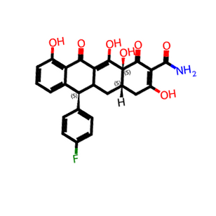 NC(=O)C1=C(O)C[C@@H]2CC3C(=C(O)[C@]2(O)C1=O)C(=O)c1c(O)cccc1[C@@H]3c1ccc(F)cc1